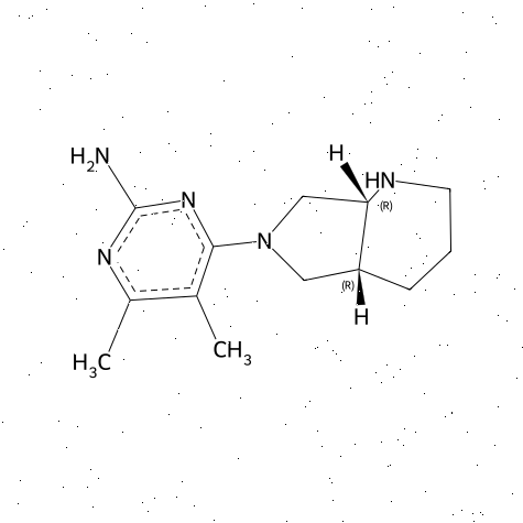 Cc1nc(N)nc(N2C[C@H]3CCCN[C@H]3C2)c1C